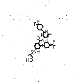 Cc1cc(NC(=O)c2ccc(NSC(C)CO)cc2N2CCC(=C(F)F)CC2)nc(N2CCC(F)(F)CC2)n1